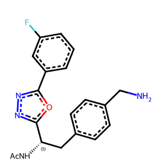 CC(=O)N[C@@H](Cc1ccc(CN)cc1)c1nnc(-c2cccc(F)c2)o1